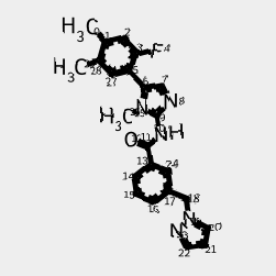 Cc1cc(F)c(-c2cnc(NC(=O)c3cccc(Cn4cccn4)c3)n2C)cc1C